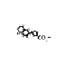 O=C(O)C1=CCC(c2ccc3c(c2)CCCC3)=C1